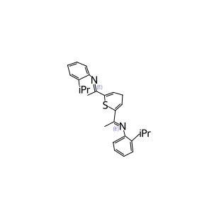 C/C(=N\c1ccccc1C(C)C)C1=CCC=C(/C(C)=N/c2ccccc2C(C)C)S1